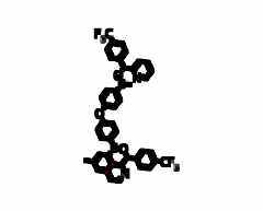 CB(OC(c1ccc(C(F)(F)F)cc1)c1ccccn1)c1ccc(Oc2ccc(B(OC(c3ccc(C(F)(F)F)cc3)c3ccccn3)c3cccc(C)c3)cc2)cc1